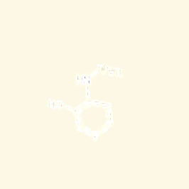 CCCCCNc1cc[c]cc1O